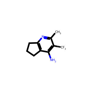 Cc1nc2c(c(N)c1C(F)(F)F)CCC2